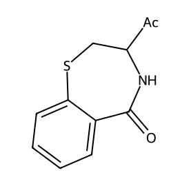 CC(=O)C1CSc2ccccc2C(=O)N1